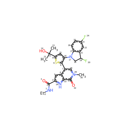 CCNC(=O)c1cc2c(-c3sc(C(C)(C)O)cc3N3CC(F)c4cc(F)ccc43)cn(C)c(=O)c2[nH]1